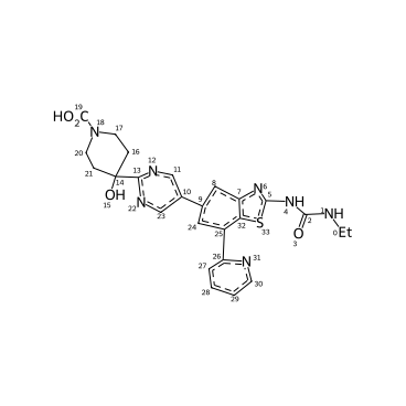 CCNC(=O)Nc1nc2cc(-c3cnc(C4(O)CCN(C(=O)O)CC4)nc3)cc(-c3ccccn3)c2s1